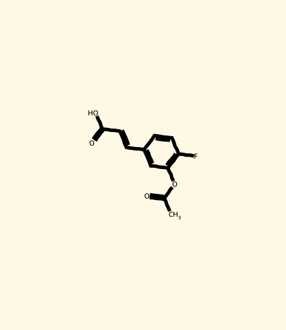 CC(=O)Oc1cc(C=CC(=O)O)ccc1F